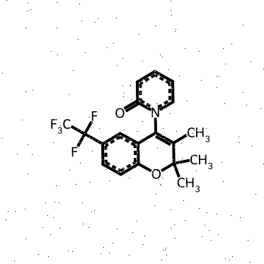 CC1=C(n2ccccc2=O)c2cc(C(F)(F)C(F)(F)F)ccc2OC1(C)C